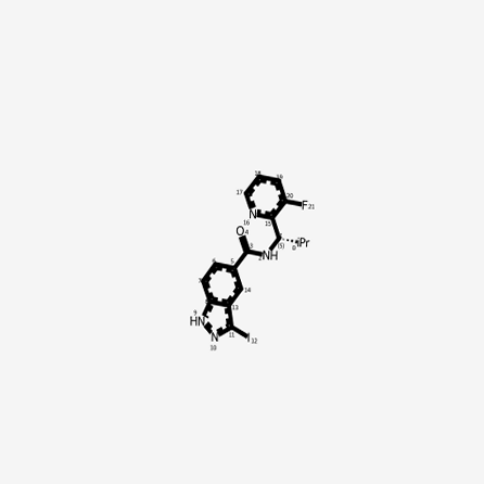 CC(C)[C@H](NC(=O)c1ccc2[nH]nc(I)c2c1)c1ncccc1F